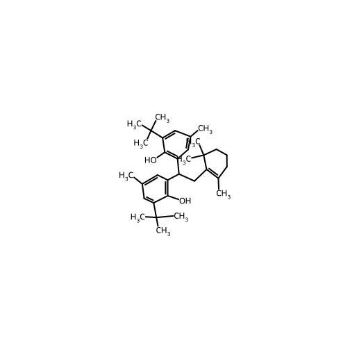 CC1=C(CC(c2cc(C)cc(C(C)(C)C)c2O)c2cc(C)cc(C(C)(C)C)c2O)C(C)(C)CCC1